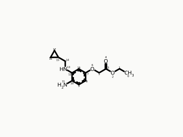 CCOC(=O)COc1ccc(N)c(NCC2CC2)c1